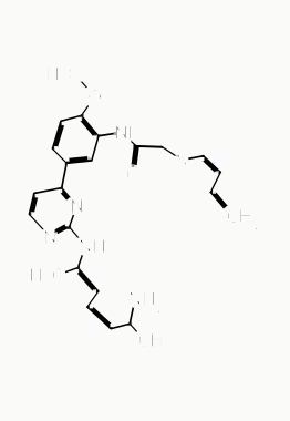 C=C/C=C\SCC(=O)Nc1cc(-c2ccnc(N/C(C)=C/C=C\C(C)N)n2)ccc1OC